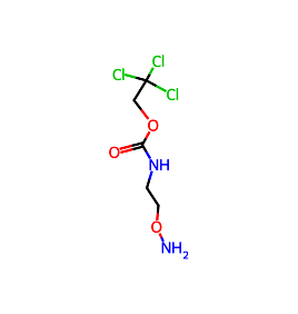 NOCCNC(=O)OCC(Cl)(Cl)Cl